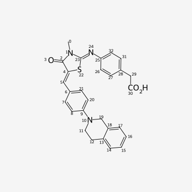 CN1C(=O)C(=Cc2ccc(N3CCc4ccccc4C3)cc2)SC1=Nc1ccc(CC(=O)O)cc1